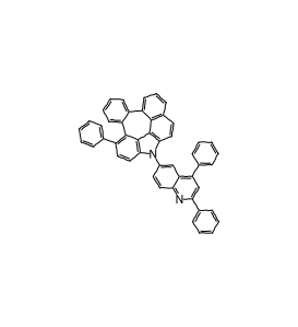 c1ccc(-c2cc(-c3ccccc3)c3cc(-n4c5ccc(-c6ccccc6)c6c5c5c7c(cccc7ccc54)-c4ccccc4-6)ccc3n2)cc1